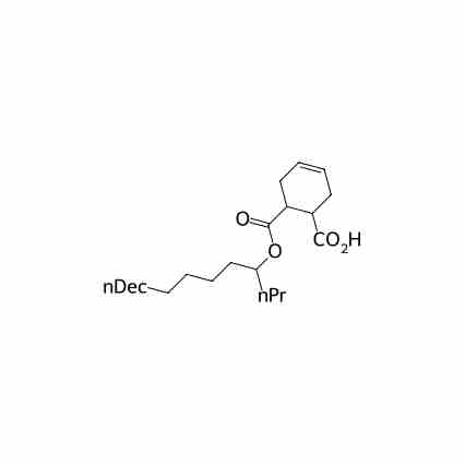 CCCCCCCCCCCCCCC(CCC)OC(=O)C1CC=CCC1C(=O)O